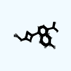 CC(C)c1ccc(C2CC(CO)C2)c2cnc(Cl)cc12